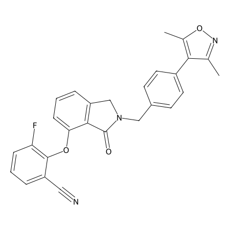 Cc1noc(C)c1-c1ccc(CN2Cc3cccc(Oc4c(F)cccc4C#N)c3C2=O)cc1